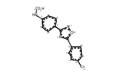 O=C(O)Nc1ccc(-c2noc(-c3ccc(Cl)cc3)n2)cc1